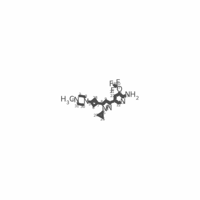 CN1CCN(C23CC(c4cc(-c5cnc(N)c(OC(F)(F)F)c5)nn4C4CC4)(C2)C3)CC1